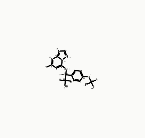 Cc1cc(N[C@@](C)(c2ccc(OC(F)(F)F)cc2)C(C)(C)O)n2ncnc2n1